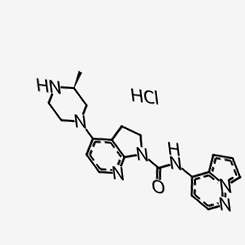 C[C@H]1CN(c2ccnc3c2CCN3C(=O)Nc2ccnn3cccc23)CCN1.Cl